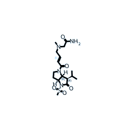 CC(C)[C@H]1C(=O)N(S(C)(=O)=O)[C@H]2CCN(C(=O)/C=C/CN(C)CC(N)=O)[C@H]12